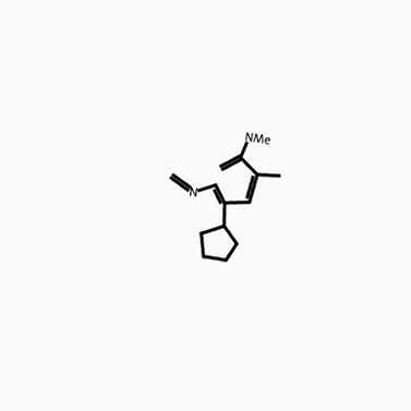 C=N/C=C(/C=C(/C)C(=C)NC)C1CCCC1